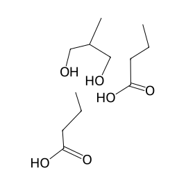 CC(CO)CO.CCCC(=O)O.CCCC(=O)O